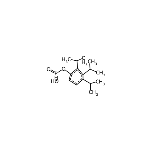 CC(C)c1ccc(O[PH](=O)O)c(C(C)C)c1C(C)C